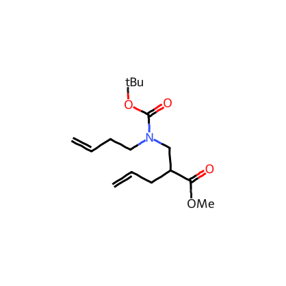 C=CCCN(CC(CC=C)C(=O)OC)C(=O)OC(C)(C)C